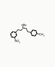 CCCCN(CCc1ccc(C)cc1)CCc1cccc([N+](=O)[O-])c1